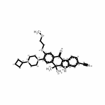 COCCOc1cc2c(cc1N1CCN(C3CCC3)CC1)C(C)(C)c1[nH]c3cc(C#N)ccc3c1C2=O